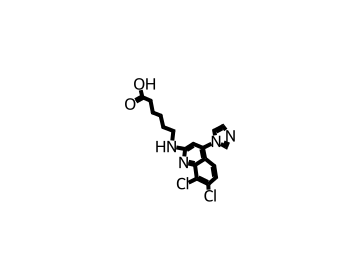 O=C(O)CCCCCNc1cc(-n2ccnc2)c2ccc(Cl)c(Cl)c2n1